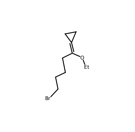 CCOC(CCCCBr)=C1CC1